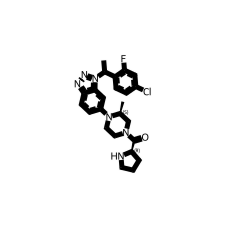 CC(c1ccc(Cl)cc1F)n1nnc2ccc(N3CCN(C(=O)[C@H]4CCCN4)C[C@@H]3C)cc21